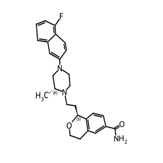 C[C@@H]1CN(c2ccc3c(F)cccc3c2)CCN1CC[C@@H]1OCCc2cc(C(N)=O)ccc21